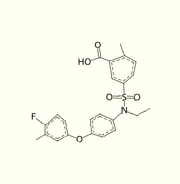 CCN(c1ccc(Oc2ccc(F)c(C)c2)cc1)S(=O)(=O)c1ccc(C)c(C(=O)O)c1